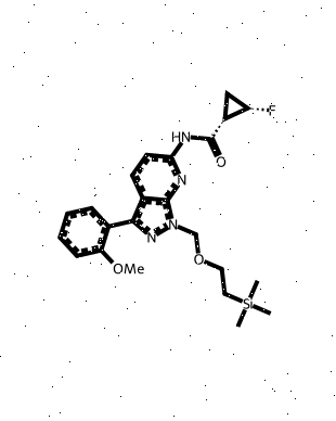 COc1ccccc1-c1nn(COCC[Si](C)(C)C)c2nc(NC(=O)[C@@H]3C[C@@H]3F)ccc12